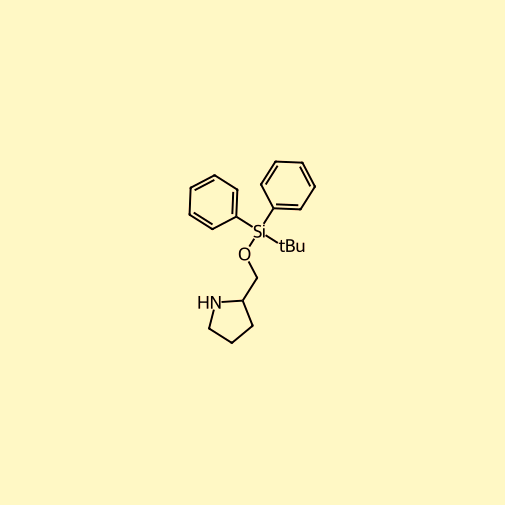 CC(C)(C)[Si](OCC1CCCN1)(c1ccccc1)c1ccccc1